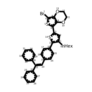 CCCCCCc1cc(-c2sc(Br)c3c2OCCO3)sc1-c1ccc(C=C(c2ccccc2)c2ccccc2)cc1